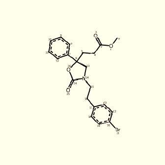 COC(=O)CCC1(c2ccccc2)CN(CCc2ccc(Br)cc2)C(=O)O1